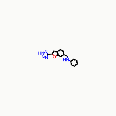 c1ccc(NCc2ccc3cc(-c4nn[nH]n4)oc3c2)cc1